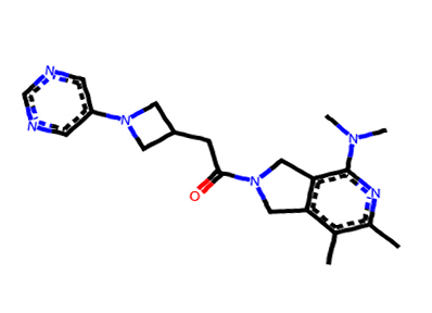 Cc1nc(N(C)C)c2c(c1C)CN(C(=O)CC1CN(c3cncnc3)C1)C2